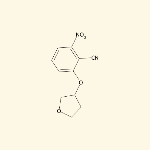 N#Cc1c(OC2CCOC2)cccc1[N+](=O)[O-]